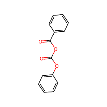 O=C(OC(=O)c1ccccc1)Oc1ccccc1